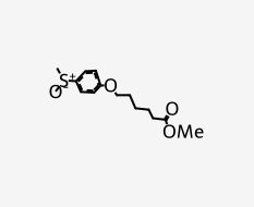 COC(=O)CCCCCOc1ccc([S+](C)[O-])cc1